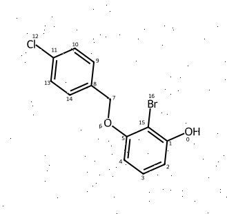 Oc1cccc(OCc2ccc(Cl)cc2)c1Br